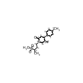 Cc1ccc(-c2cc(=O)n(CCC(C)S(C)(=O)=O)cc2F)cc1